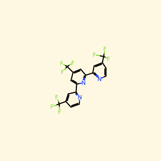 FC(F)(F)c1ccnc(-c2cc(C(F)(F)F)cc(-c3cc(C(F)(F)F)ccn3)n2)c1